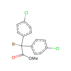 COC(=O)C(Br)(c1ccc(Cl)cc1)c1ccc(Cl)cc1